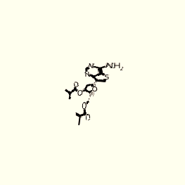 CC(C)C(=O)OC[C@H]1O[C@@H](c2csc3c(N)ncnc23)C[C@@H]1OC(=O)C(C)C